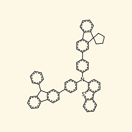 c1ccc(C2c3ccccc3-c3ccc(-c4ccc(N(c5ccc(-c6ccc7c(c6)C6(CCCC6)c6ccccc6-7)cc5)c5cccc6c5sc5ccccc56)cc4)cc32)cc1